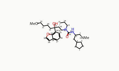 CNCC(CC1CCCC1)NC(=O)N1CCC[C@@H]([C@@](O)(CCCCOC)c2cccc3ccoc23)C1